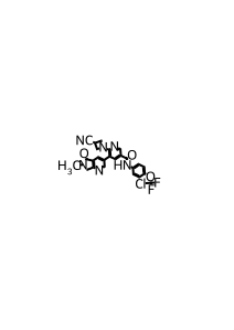 CN1Cc2ncc(-c3cc(C(=O)Nc4ccc(OC(F)(F)Cl)cc4)cnc3N3CC(C#N)C3)cc2C1=O